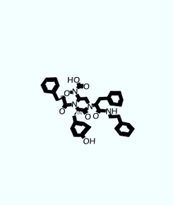 O=C(NCCc1ccccc1)C(Cc1ccccc1)N1CC2N(C(=O)O)O[C@H](Cc3ccccc3)C(=O)N2[C@@H](Cc2ccc(O)cc2)C1=O